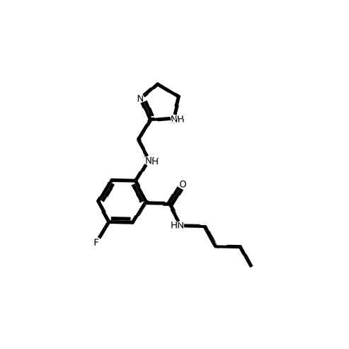 CCCCNC(=O)c1cc(F)ccc1NCC1=NCCN1